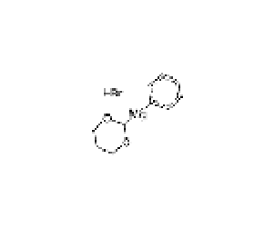 Br.c1cc[c]([Mg][CH]2OCCCO2)cc1